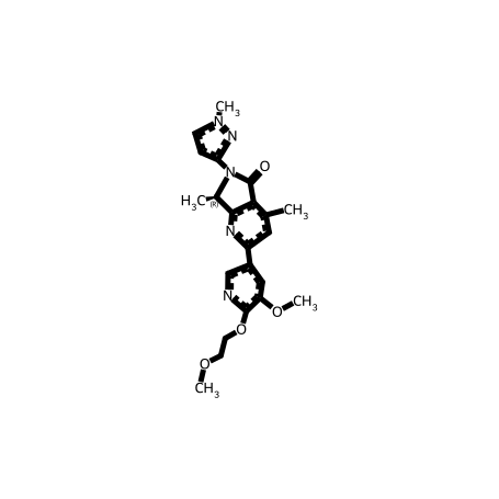 COCCOc1ncc(-c2cc(C)c3c(n2)[C@@H](C)N(c2ccn(C)n2)C3=O)cc1OC